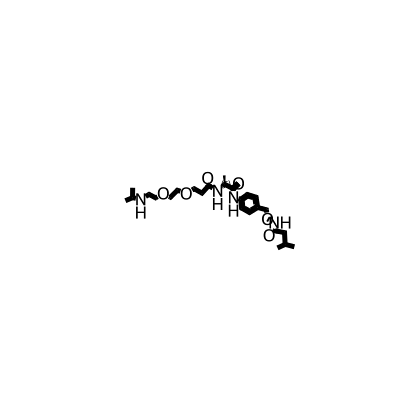 CC(C)CC(=O)NOCc1ccc(NC(=O)[C@H](C)NC(=O)CCOCCOCCNC(C)C)cc1